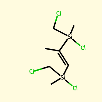 CC(=C[Si](C)(Cl)CCl)[Si](C)(Cl)CCl